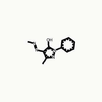 CN=Nc1c(C)nn(-c2ccccc2)c1O